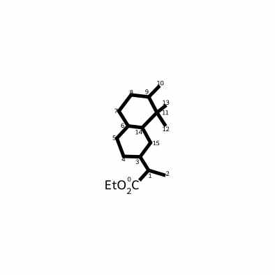 CCOC(=O)C(C)C1CCC2CCC(C)C(C)(C)C2C1